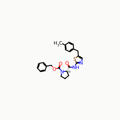 Cc1ccc(Cc2cnc(NC(=O)[C@@H]3CCCN3C(=O)OCc3ccccc3)s2)cc1